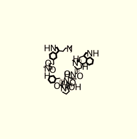 CN1C[C@H](C(=O)N[C@]2(C)O[C@@]3(O)[C@@H]4CCCN4C(=O)[C@H](Cc4ccccc4)N3C2=O)C[C@@H]2c3cccc4[nH]cc(c34)C[C@H]21.CNS(=O)(=O)Cc1ccc2[nH]cc(CCN(C)C)c2c1